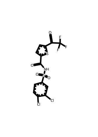 O=C(NS(=O)(=O)c1ccc(Cl)c(Cl)c1)c1ccc(C(=O)C(F)(F)F)s1